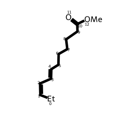 CC/C=C\C=C\CCCCCC(=O)OC